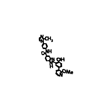 COc1ncccc1-c1ccc(O)c(-c2nc3cc(C(=O)Nc4ccc(-n5ccnc5C)cc4)ccc3[nH]2)c1